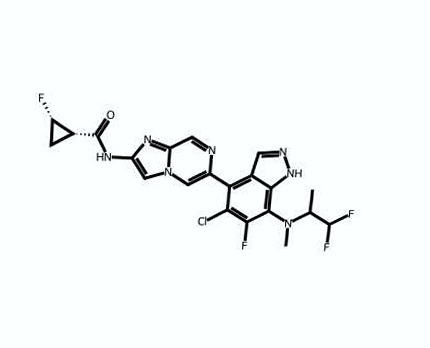 CC(C(F)F)N(C)c1c(F)c(Cl)c(-c2cn3cc(NC(=O)[C@@H]4C[C@@H]4F)nc3cn2)c2cn[nH]c12